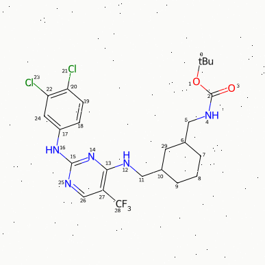 CC(C)(C)OC(=O)NCC1CCCC(CNc2nc(Nc3ccc(Cl)c(Cl)c3)ncc2C(F)(F)F)C1